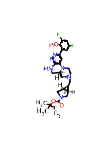 CC(C)(C)OC(=O)N1C[C@@H]2C(CN3CCN4c5cc(-c6cc(F)cc(F)c6O)nnc5NC[C@H]4C3)[C@@H]2C1